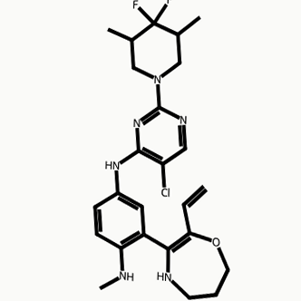 C=CC1=C(c2cc(Nc3nc(N4CC(C)C(F)(F)C(C)C4)ncc3Cl)ccc2NC)NCCCO1